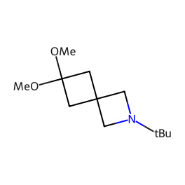 COC1(OC)CC2(CN(C(C)(C)C)C2)C1